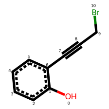 Oc1ccccc1C#CCBr